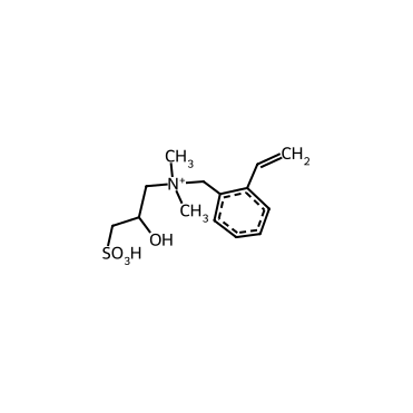 C=Cc1ccccc1C[N+](C)(C)CC(O)CS(=O)(=O)O